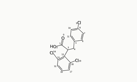 O=C(O)C(Cc1ccc(Cl)cc1)c1c(Cl)cccc1Cl